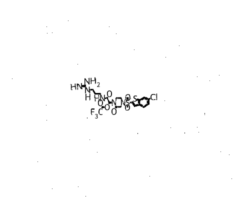 N=C(N)NCCCNC(=O)C(OC(=O)C(F)(F)F)N1CCN(S(=O)(=O)c2cc3ccc(Cl)cc3s2)CC1=O